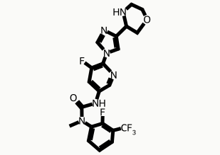 CN(C(=O)Nc1cnc(-n2cnc(C3COCCN3)c2)c(F)c1)c1cccc(C(F)(F)F)c1F